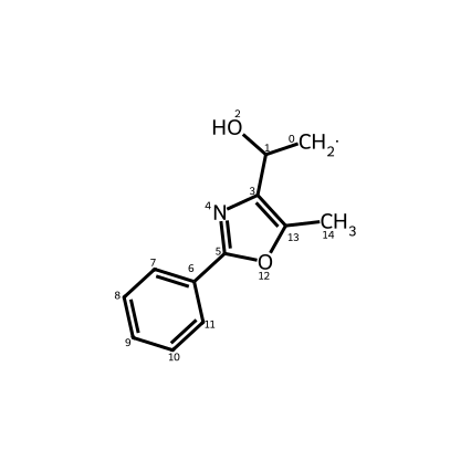 [CH2]C(O)c1nc(-c2ccccc2)oc1C